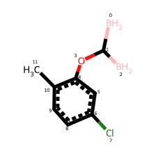 BC(B)Oc1cc(Cl)ccc1C